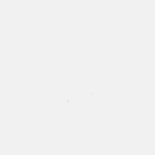 CCCC(Br)(Br)C(=O)N(c1ccc(C(F)(F)F)cc1)P(=O)(SN)SN